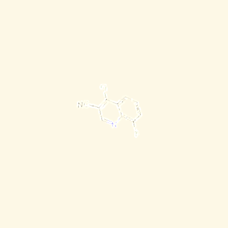 N#Cc1cnc2c(F)cccc2c1Cl